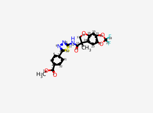 COC(=O)c1ccc(-c2nnc(NC(=O)C3(C)COc4cc5c(cc43)OC(F)(F)O5)s2)cc1